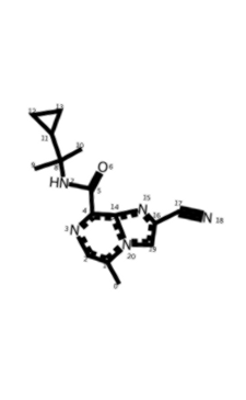 Cc1cnc(C(=O)NC(C)(C)C2CC2)c2nc(C#N)cn12